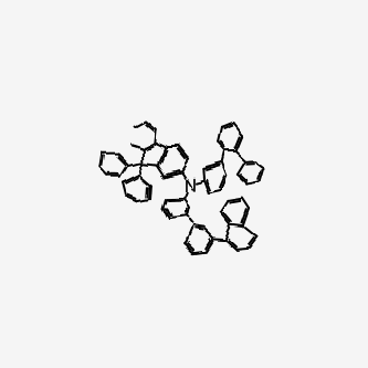 C/C=C\C1=C(C)C(c2ccccc2)(c2ccccc2)c2cc(N(c3cccc(-c4cccc(-c5cccc6ccccc56)c4)c3)c3cccc(-c4ccccc4-c4ccccc4)c3)ccc21